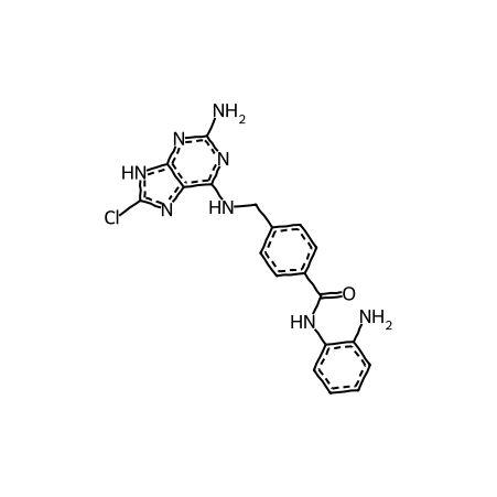 Nc1nc(NCc2ccc(C(=O)Nc3ccccc3N)cc2)c2nc(Cl)[nH]c2n1